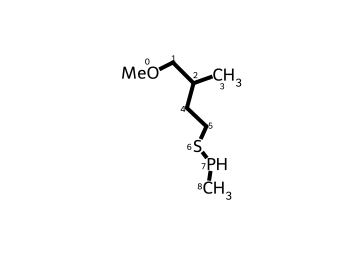 COCC(C)CCSPC